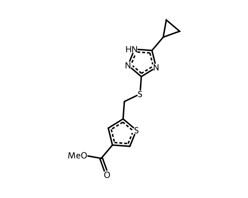 COC(=O)c1csc(CSc2n[nH]c(C3CC3)n2)c1